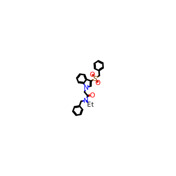 CCN(Cc1ccccc1)C(=O)Cn1cc(S(=O)(=O)Cc2ccccc2)c2ccccc21